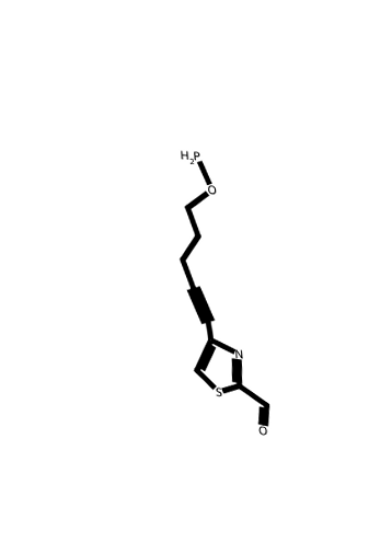 O=Cc1nc(C#CCCCOP)cs1